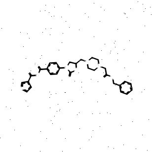 N=C(NC(=O)c1ccsc1)c1ccc(N2CC(CN3CCN(CC(=O)OCc4ccccc4)CC3)OC2=O)cc1